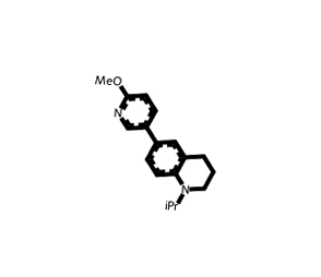 COc1ccc(-c2ccc3c(c2)CCCN3C(C)C)cn1